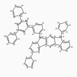 c1ccc(-c2ccc3c(c2)c2cc4c5ccccc5n(-c5ccccc5)c4cc2n3-c2cccc(-c3nc(-c4ccccc4)nc(-c4ccccc4)n3)c2)cc1